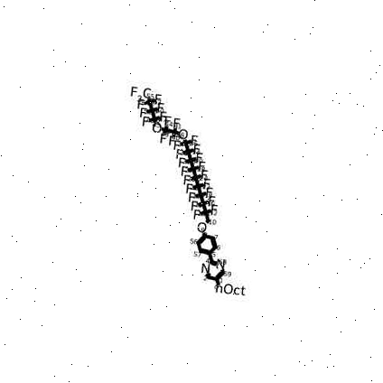 CCCCCCCCc1cnc(-c2ccc(OCC(F)(F)C(F)(F)C(F)(F)C(F)(F)C(F)(F)C(F)(F)C(F)(F)C(F)(F)C(F)(F)OC(F)(F)C(F)(F)OC(F)(F)C(F)(F)C(F)(F)C(F)(F)F)cc2)nc1